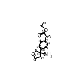 CCOC(=O)C(C)c1ccc(C2(N)CCOC2)cc1